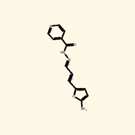 O=C(N/N=C/C=C/c1ccc([N+](=O)[O-])o1)c1ccncc1